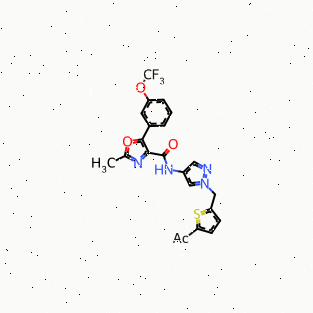 CC(=O)c1ccc(Cn2cc(NC(=O)c3nc(C)oc3-c3cccc(OC(F)(F)F)c3)cn2)s1